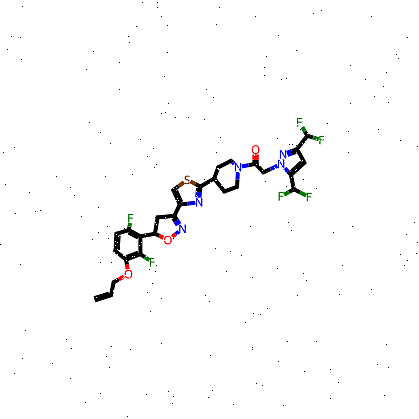 C=CCOc1ccc(F)c(C2CC(c3csc(C4CCN(C(=O)Cn5nc(C(F)F)cc5C(F)F)CC4)n3)=NO2)c1F